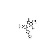 Cc1cc(C2CC2)c(CN2CCC3(CC2c2ccc(-n4cccn4)cc2)CC(F)(F)C3)c2cc[nH]c12